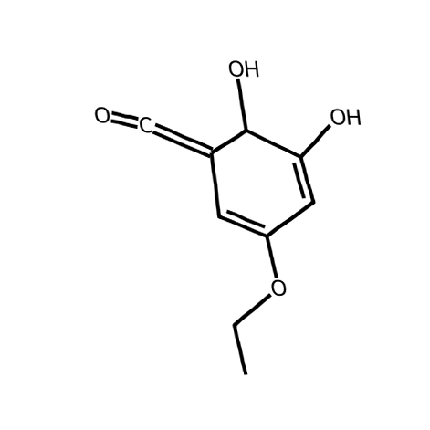 CCOC1=CC(=C=O)C(O)C(O)=C1